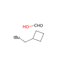 CC(C)(C)CC1CCC1.O=CO